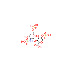 O=C(O)C1OCC(OS(=O)(=O)O)[C@H](O)[C@@H]1O[C@H]1OC(COS(=O)(=O)O)C[C@@H](O)C1NS(=O)(=O)O